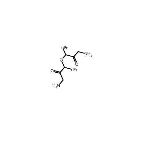 CCCC(OC(CCC)C(=O)CN)C(=O)CN